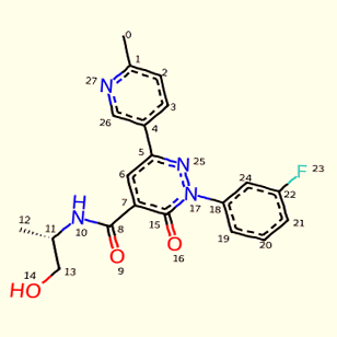 Cc1ccc(-c2cc(C(=O)N[C@@H](C)CO)c(=O)n(-c3cccc(F)c3)n2)cn1